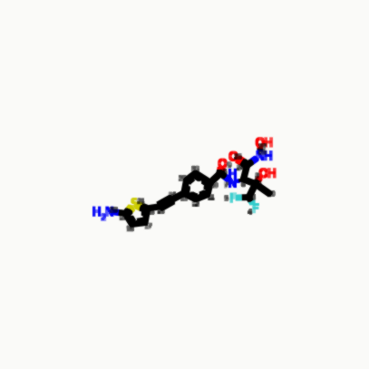 CC(O)(C(F)F)[C@H](NC(=O)c1ccc(C#Cc2ccc(N)s2)cc1)C(=O)NO